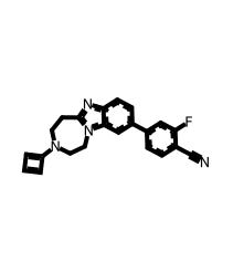 N#Cc1ccc(-c2ccc3nc4n(c3c2)CCN(C2=CC=C2)CC4)cc1F